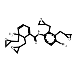 Nc1ccc(NC(=O)C2=CC=CC(N)(CC3CO3)C2CC2CO2)c(CC2CO2)c1CC1CO1